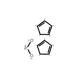 C1=CCC=C1.C1=CCC=C1.[Cl][Zr][Cl]